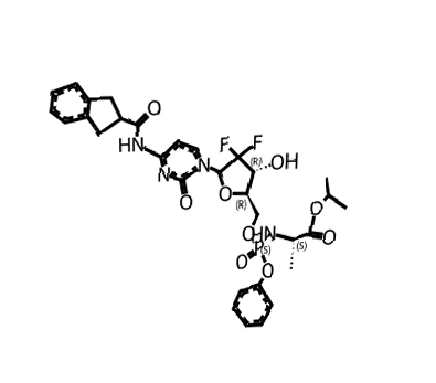 CC(C)OC(=O)[C@H](C)N[P@](=O)(OC[C@H]1OC(n2ccc(NC(=O)C3Cc4ccccc4C3)nc2=O)C(F)(F)[C@@H]1O)Oc1ccccc1